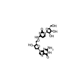 Nc1nc2c(ncn2[C@H]2C[C@H](O)[C@@H](CONc3ccn([C@@H]4O[C@H](CO)[C@@H](O)[C@@H]4O)c(=O)n3)O2)c(=O)[nH]1